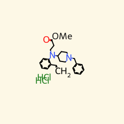 C=Cc1ccccc1N(CCC(=O)OC)C1CCN(Cc2ccccc2)CC1.Cl.Cl